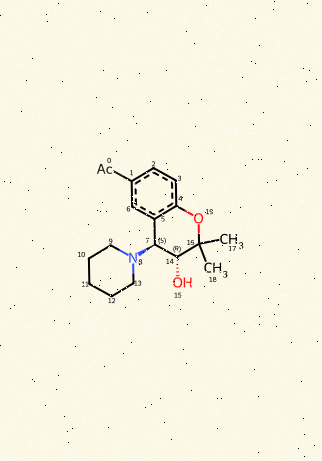 CC(=O)c1ccc2c(c1)[C@H](N1CCCCC1)[C@@H](O)C(C)(C)O2